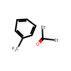 CCC(=O)CC.FC(F)(F)c1ccccc1